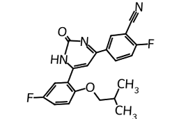 CC(C)COc1ccc(F)cc1-c1cc(-c2ccc(F)c(C#N)c2)nc(=O)[nH]1